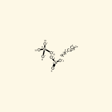 O=[Si]([O-])[O-].[Ca+2].[Ca+2].[K+].[K+].[O-][Si]([O-])([O-])[O-]